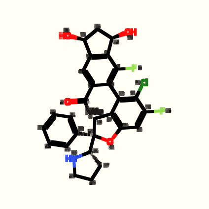 CNC(=O)c1cc2c(c(F)c1-c1c(Cl)c(F)cc3c1C[C@](c1ccccc1)([C@@H]1CCCN1)O3)[C@H](O)C[C@@H]2O